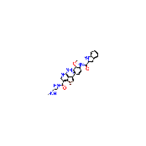 CNCCNC(=O)c1cnc(N)c2c(-c3ccc(NC(=O)c4cc5ccccc5n4C)c(OC)c3)csc12